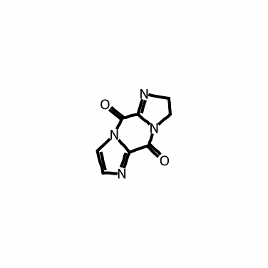 O=c1c2nccn2c(=O)c2n1CCN=2